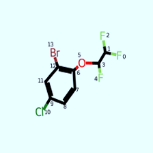 FC(F)C(F)Oc1ccc(Cl)cc1Br